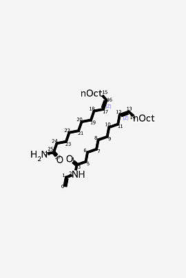 C=CNC(=O)CCCCCCC/C=C\CCCCCCCC.CCCCCCCC/C=C\CCCCCCCC(N)=O